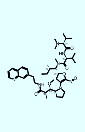 CC[C@H](C)C([C@H]1CC(N2CCC[C@H]2[C@H](OC)[C@@H](C)C(=O)NCCc2ccc3cccnc3c2)=C(N=O)O1)N(C)C(=O)[C@@H](NC(=O)[C@H](C(C)C)N(C)C)C(C)C